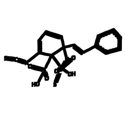 O=S(=O)(O)C1(S(=O)(=O)O)C(N=C=S)=CC=CC1(C=Cc1ccccc1)N=C=S